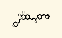 O=C(/C=C/c1cnc2c(c1)CN(CCN1CCOCC1)C(=O)N2)N1CCC(=Cc2cccs2)CC1